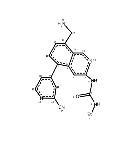 CCNC(=O)Nc1cc2c(-c3ccnc(C#N)c3)ccc(CN)c2cn1